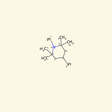 CC(C)C1CC(C)(C)N(C(C)C)C(C)(C)C1